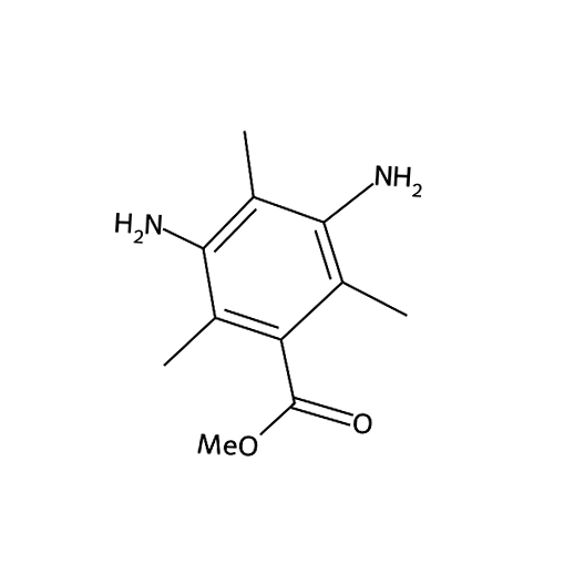 COC(=O)c1c(C)c(N)c(C)c(N)c1C